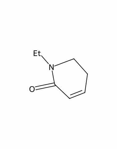 CCN1CCC=CC1=O